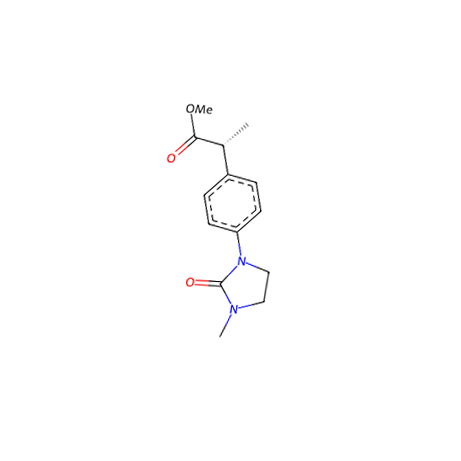 COC(=O)[C@H](C)c1ccc(N2CCN(C)C2=O)cc1